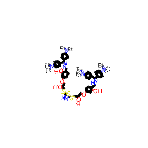 CCN(CC)c1ccc(C(=N/N=C/c2ccc(OCC(O)CSc3nnc(SCC(O)COc4ccc(/C=N/N=C(c5ccc(N(CC)CC)cc5)c5ccc(N(CC)CC)cc5)c(O)c4)s3)cc2O)c2ccc(N(CC)CC)cc2)cc1